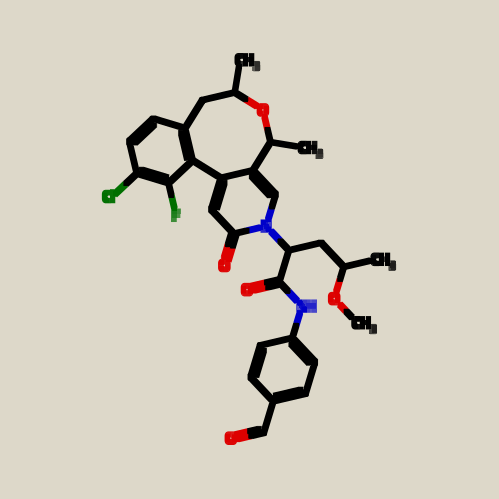 COC(C)CC(C(=O)Nc1ccc(C=O)cc1)n1cc2c(cc1=O)-c1c(ccc(Cl)c1F)CC(C)OC2C